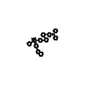 c1ccc(-c2nnc(-c3ccc(-c4ccccc4-c4ccccc4-c4ccc(N(c5ccccc5)c5ccccc5)cc4)cc3)n2-c2ccc(-c3ccc4ccccc4c3)cc2)cc1